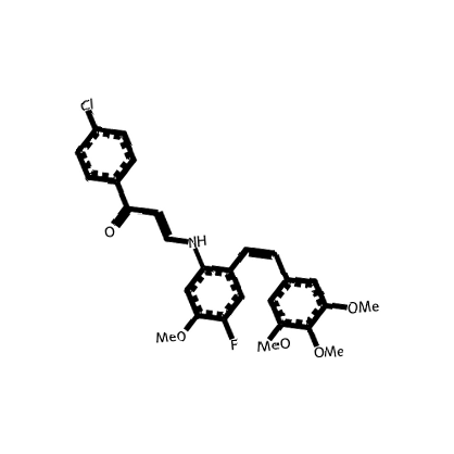 COc1cc(N/C=C/C(=O)c2ccc(Cl)cc2)c(/C=C\c2cc(OC)c(OC)c(OC)c2)cc1F